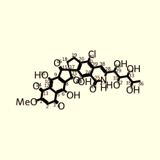 COC1=CC(=O)c2c(O)c3c(c(O)c2C1=O)C(=O)[C@@]1(CCc2c1c(O)c1c(=O)[nH]c(C(O)C(O)C(O)C(C)O)cc1c2Cl)C3=O